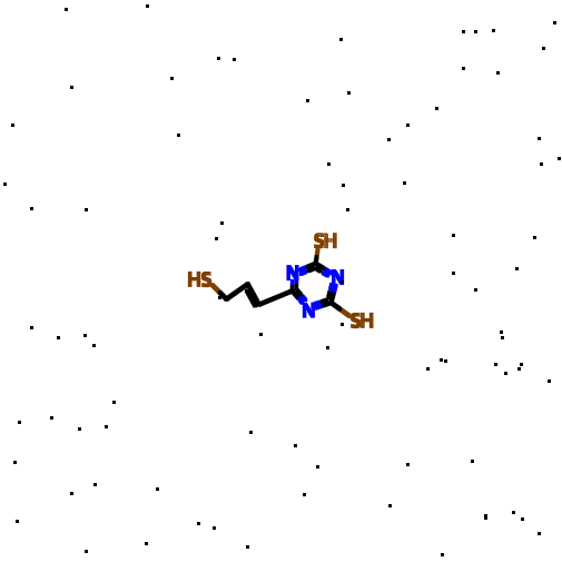 SCC=Cc1nc(S)nc(S)n1